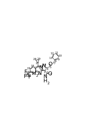 NC(=O)c1c(COCc2ccccc2)nn(C(c2ccc(C(F)(F)F)cc2)C2CC2)c1N